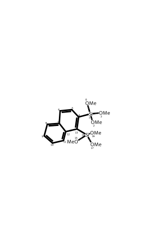 CO[Si](OC)(OC)c1ccc2ccccc2c1[Si](OC)(OC)OC